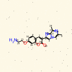 Cc1cn2cc(-c3cc4ccc(OCCN)cc4oc3=O)nc2c(C)n1